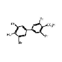 CC(C)c1cc(-c2cc(C(C)C)c(C(=O)O)c(C(C)C)c2)cc(C(C)C)c1O